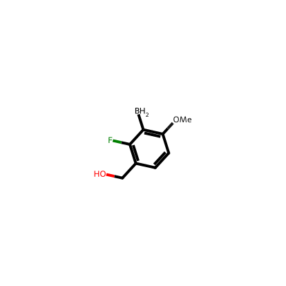 Bc1c(OC)ccc(CO)c1F